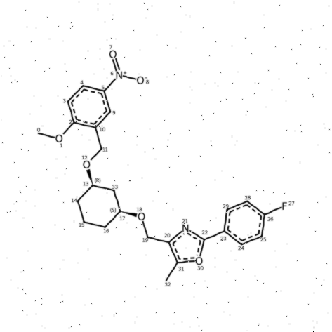 COc1ccc([N+](=O)[O-])cc1CO[C@@H]1CCC[C@H](OCc2nc(-c3ccc(F)cc3)oc2C)C1